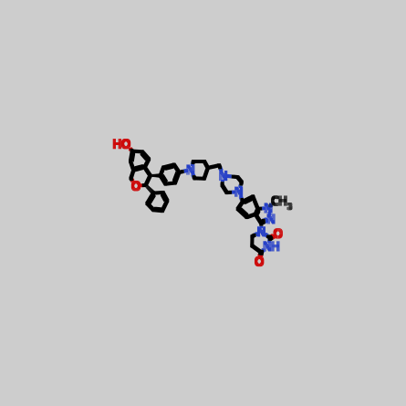 Cn1nc(N2CCC(=O)NC2=O)c2ccc(N3CCN(CC4CCN(c5ccc([C@@H]6c7ccc(O)cc7CO[C@@H]6c6ccccc6)cc5)CC4)CC3)cc21